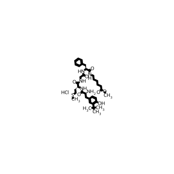 COC(=O)CCCCCNC(=O)[C@H](Cc1ccccc1)NC(=O)CNC(=O)[C@@H](CCSC)NC(=O)[C@H](N)Cc1ccc(O)c(C(C)(C)C)c1.Cl